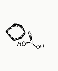 O=[AsH](O)O.c1ccccc1